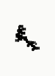 NC(CCC(=O)O)C(=O)NCCCNc1nc(S)c2ncn(C3O[C@H](CO)[C@H](O)C3O)c2n1